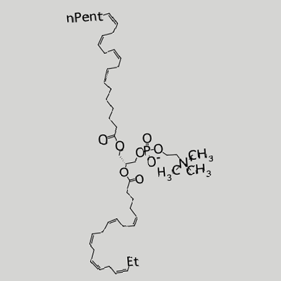 CC/C=C\C/C=C\C/C=C\C/C=C\C/C=C\CCCC(=O)O[C@H](COC(=O)CCCCC/C=C\C/C=C\C/C=C\C/C=C\CCCCC)COP(=O)([O-])OCC[N+](C)(C)C